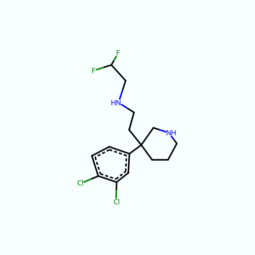 FC(F)CNCCC1(c2ccc(Cl)c(Cl)c2)CCCNC1